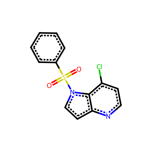 O=S(=O)(c1ccccc1)n1ccc2nccc(Cl)c21